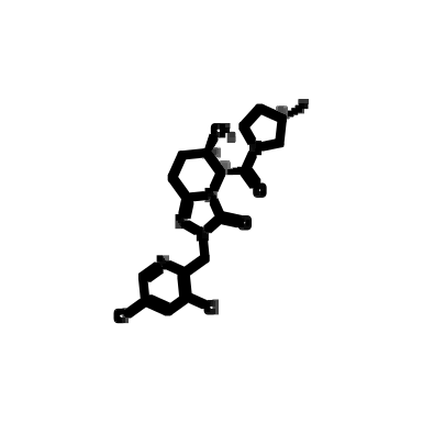 O=C([C@H]1[C@H](C(F)(F)F)CCc2nn(Cc3ncc(Cl)cc3Cl)c(=O)n21)N1CC[C@H](F)C1